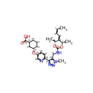 C=C/C(=C\C=C/C)[C@@H](C)OC(=O)NCc1c(-c2ccc(O[C@H]3CCCC(C(=O)O)C3)cn2)nnn1C